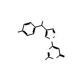 Cc1nc(-n2cc(C(C)c3ccc(C(F)(F)F)cc3)cn2)cc(=O)[nH]1